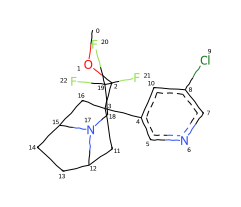 COCC1(c2cncc(Cl)c2)CC2CCC(C1)N2CC(F)(F)F